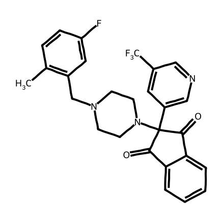 Cc1ccc(F)cc1CN1CCN(C2(c3cncc(C(F)(F)F)c3)C(=O)c3ccccc3C2=O)CC1